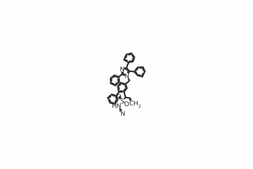 C=CC(c1cc(Cn2c(-c3ccccc3)nc(-c3ccccc3)c2-c2ccccc2)ccc1-c1ccccc1)S(=O)(=O)NC#N